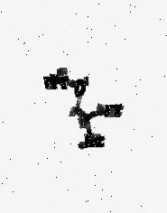 CCCOCC(CC)CC